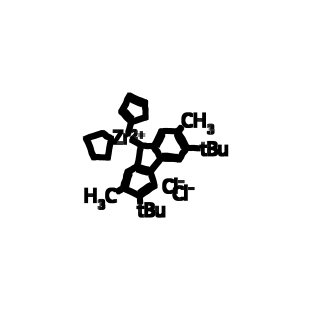 Cc1cc2c(cc1C(C)(C)C)-c1cc(C(C)(C)C)c(C)cc1[CH]2[Zr+2]([C]1=CC=CC1)=[C]1CCCC1.[Cl-].[Cl-]